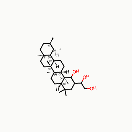 C[C@@H]1[C@H]2[C@H]3CC[C@@H]4[C@@]5(C)C(O)C(C(O)CO)CC(C)(C)[C@@H]5CC[C@@]4(C)[C@]3(C)CC[C@@]2(C)CC[C@H]1C